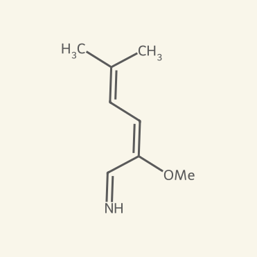 CO/C(C=N)=C/C=C(C)C